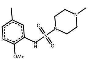 COc1ncc(C)cc1NS(=O)(=O)N1CCN(C)CC1